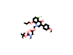 CCCOc1ccc(F)c2c(=O)c(-c3ccc(OC)cc3)cn(COC(=O)CN(C)C(=O)OC(C)(C)C)c12